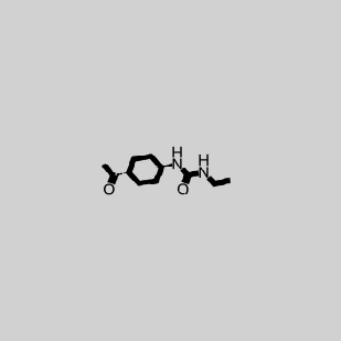 CCNC(=O)N[C@H]1CC[C@H](C(C)=O)CC1